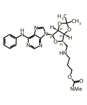 CNC(=O)OCCCNC[C@H]1O[C@@H](n2cnc3c(Nc4ccccc4)ncnc32)[C@@H]2OC(C)(C)O[C@@H]21